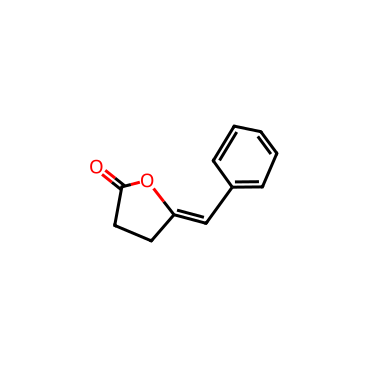 O=C1CCC(=Cc2ccccc2)O1